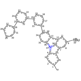 Cc1ccc2c(c1)c1cc(C(C)(C)C)cc3c4cc(-c5cccc(-c6cccc(-c7ccccc7)c6)c5)ccc4n2c13